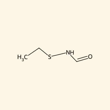 CCSNC=O